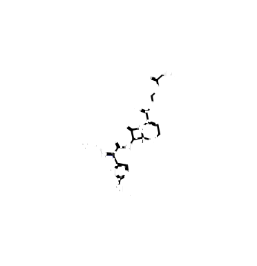 CCC(C)C(=O)OCOC(=O)C1=CCS[C@@H]2C(NC(=O)/C(=N\OC)c3csc(N)n3)C(=O)N12